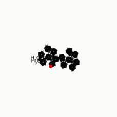 CC1(C)c2ccccc2N(c2cc3c4c(c2)-n2c5ccccc5c5cc(-c6cccc7c6Sc6ccccc6N7c6cc7c8c(c6)-n6c9ccccc9c9cccc(c96)B8c6cccc8c9ccccc9n-7c68)cc(c52)B4c2cccc4c5ccccc5n-3c24)c2ccccc21